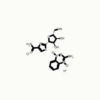 NC(=O)c1csc([C@@H]2O[C@H](CO)[C@@H](O)[C@H]2O)n1.Nc1n[n+]([O-])c2ccccc2[n+]1[O-].[Cl-].[H+]